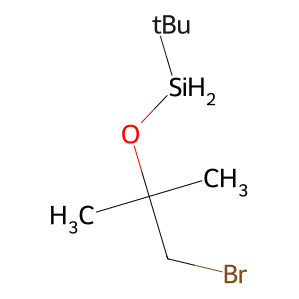 CC(C)(CBr)O[SiH2]C(C)(C)C